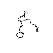 [N-]=[N+]=NCCn1c([N+](=O)[O-])cnc1/C=C/c1ccco1